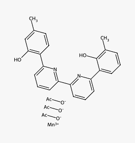 CC(=O)[O-].CC(=O)[O-].CC(=O)[O-].Cc1ccc(-c2cccc(-c3cccc(-c4cccc(C)c4O)n3)n2)c(O)c1.[Mn+3]